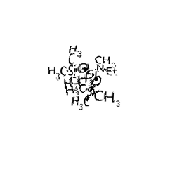 CCN(C)[Si](C)(O[Si](C)(C)C)O[Si](C)(C)C